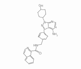 Nc1ncnc2c1c(-c1ccc(CNC(=O)c3nccc4ccccc34)cc1)nn2C1CCC(O)CC1